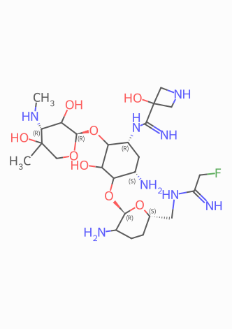 CN[C@@H]1C(O)[C@@H](OC2C(O)C(O[C@H]3O[C@H](CNC(=N)CF)CCC3N)[C@@H](N)C[C@H]2NC(=N)C2(O)CNC2)OCC1(C)O